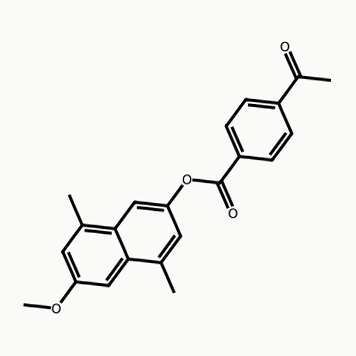 COc1cc(C)c2cc(OC(=O)c3ccc(C(C)=O)cc3)cc(C)c2c1